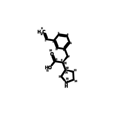 C=Cc1cccc(C[C@H](C(=O)O)[C@H]2CCNC2)c1